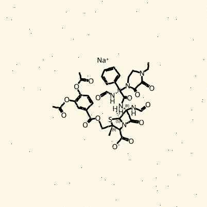 CCN1CCN([C@@](NC=O)(C(=O)N[C@]2(NC=O)C(=O)N3C(C(=O)[O-])[C@](C)(COC(=O)c4ccc(OC(C)=O)c(OC(C)=O)c4)S[C@H]32)c2ccccc2)C(=O)C1=O.[Na+]